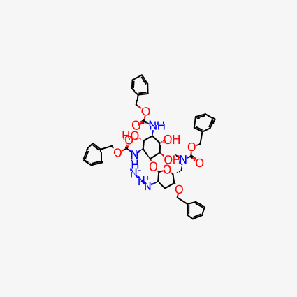 CN(C[C@H]1OC(O[C@H]2[C@H](O)[C@@H](O)[C@H](NC(=O)OCc3ccccc3)[C@@H](O)[C@@H]2NC(=O)OCc2ccccc2)[C@H](N=[N+]=[N-])C[C@@H]1OCc1ccccc1)C(=O)OCc1ccccc1